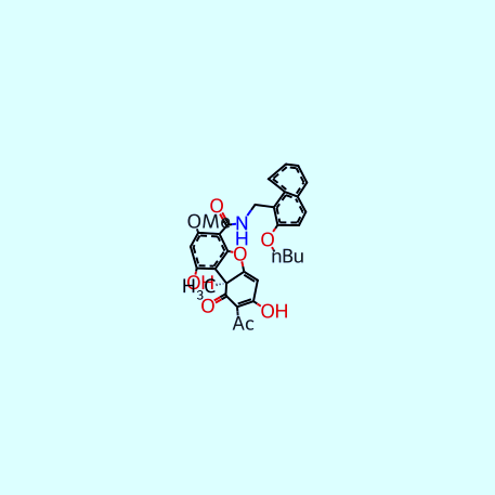 CCCCOc1ccc2ccccc2c1CNC(=O)c1c(OC)cc(O)c2c1OC1=CC(O)=C(C(C)=O)C(=O)[C@]12C